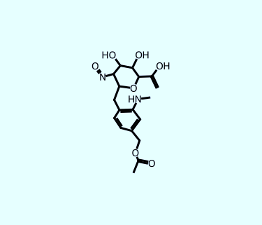 C=C(O)C1OC(Cc2ccc(COC(C)=O)cc2NC)C(N=O)C(O)C1O